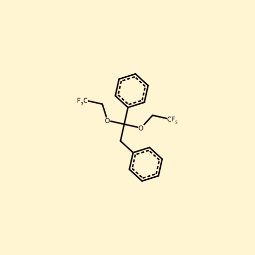 FC(F)(F)COC(Cc1ccccc1)(OCC(F)(F)F)c1ccccc1